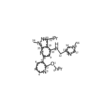 CCCOc1ncccc1-c1cc(NCc2cn(C)cn2)c2c(C(C)C)nn(C)c2n1